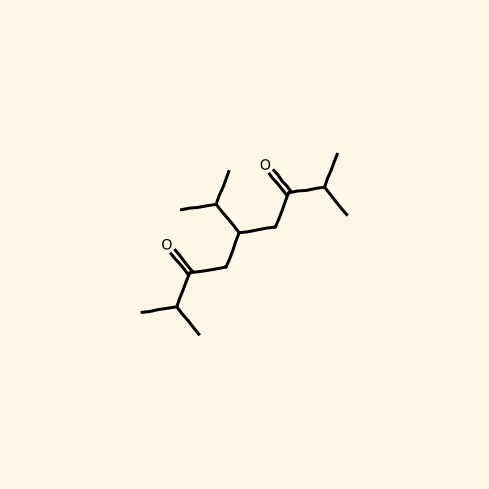 CC(C)C(=O)CC(CC(=O)C(C)C)C(C)C